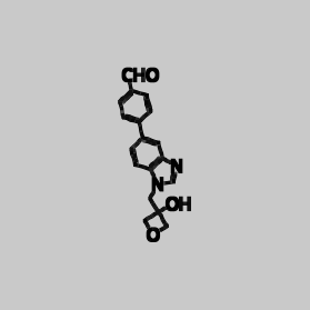 O=Cc1ccc(-c2ccc3c(c2)ncn3CC2(O)COC2)cc1